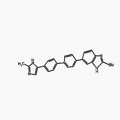 CCC(C)c1nc2ccc(-c3ccc(-c4ccc(-c5cnc(C)[nH]5)cc4)cc3)cc2[nH]1